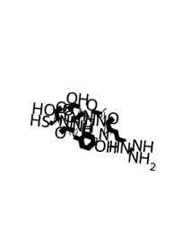 C[C@H](NC(=O)[C@@H](N)CCCNC(=N)N)C(=O)N[C@@H](CC(=O)O)C(=O)N[C@H](Cc1ccc(O)cc1)C(=O)N[C@@H](CS)C(=O)O